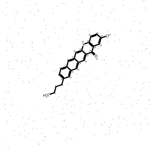 CCCCc1ccc2cc3cc4sc5ccc(Cl)cc5c(=O)c4cc3cc2c1